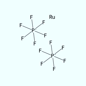 F[P-](F)(F)(F)(F)F.F[P-](F)(F)(F)(F)F.[Ru]